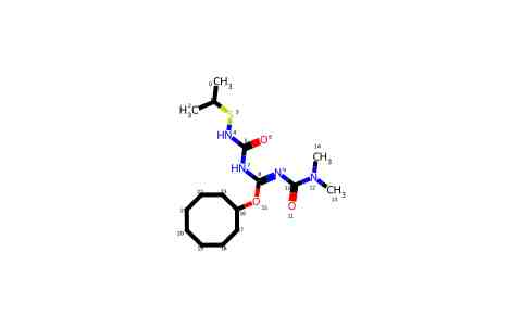 CC(C)SNC(=O)NC(=NC(=O)N(C)C)OC1CCCCCCC1